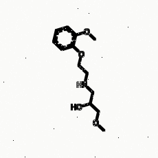 COCC(O)CNCCOc1ccccc1OC